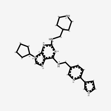 c1cc(-c2ccc(CNc3nc(NCC4CCNCC4)nc4c3ncn4C3CCCC3)cn2)co1